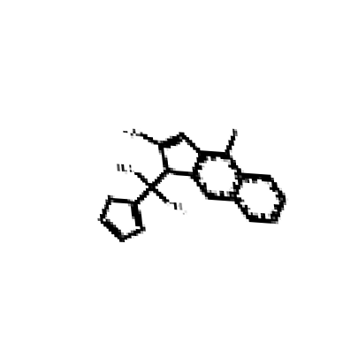 CC1=Cc2c(cc3ccccc3c2Br)C1C(C)(C)C1=CC=CC1